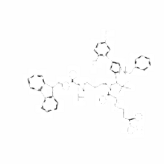 CC(C)(C)C(c1cc(-c2cc(F)ccc2F)cn1Cc1ccccc1)N(CCCNC(=O)OCC1c2ccccc2-c2ccccc21)C(=O)CSCCC(=O)O